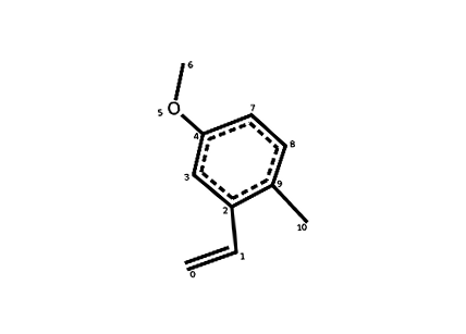 C=Cc1cc(OC)ccc1C